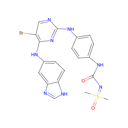 CS(C)(=O)=NC(=O)Nc1ccc(Nc2ncc(Br)c(Nc3ccc4[nH]cnc4c3)n2)cc1